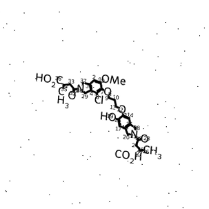 COc1cc2c(c(Cl)c1OCCCOc1cc3c(cc1O)CN(C(=O)C[C@H](C)C(=O)O)C3)CN(C(=O)C[C@H](C)C(=O)O)C2